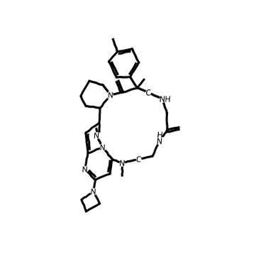 C=C1CNCC(C)(c2ccc(C)cc2)C(=C)N2CCCCC2c2cc3nc(N4CCC4)cc(n3n2)N(C)CCN1